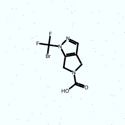 O=C(O)N1Cc2cnn(C(F)(F)Br)c2C1